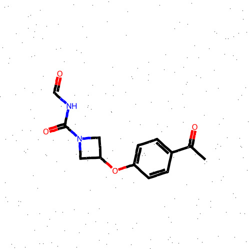 CC(=O)c1ccc(OC2CN(C(=O)NC=O)C2)cc1